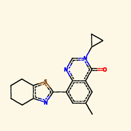 Cc1cc(-c2nc3c(s2)CCCC3)c2ncn(C3CC3)c(=O)c2c1